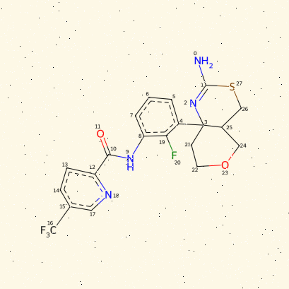 NC1=NC2(c3cccc(NC(=O)c4ccc(C(F)(F)F)cn4)c3F)CCOCC2CS1